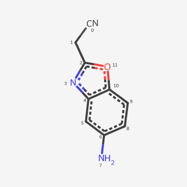 N#CCc1nc2cc(N)ccc2o1